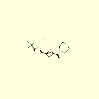 CC(C)(C)c1noc(C23CC(C(=O)N4CCNCC4)(C2)C3)n1.Cl